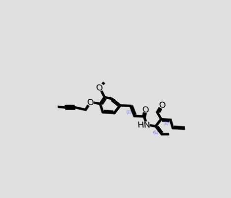 C=C/C=C(C=O)\C(=C/C)NC(=O)/C=C/c1ccc(OCC#CC)c(OC)c1